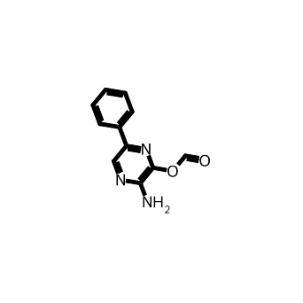 Nc1ncc(-c2ccccc2)nc1OC=O